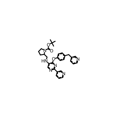 CC(C)(C)OC(=O)N1CCCC1CNc1cnc(-c2cccnc2)nc1Oc1ccc(Cc2cccnc2)cc1